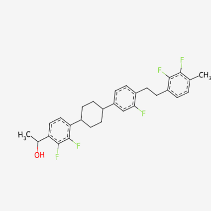 Cc1ccc(CCc2ccc(C3CCC(c4ccc(C(C)O)c(F)c4F)CC3)cc2F)c(F)c1F